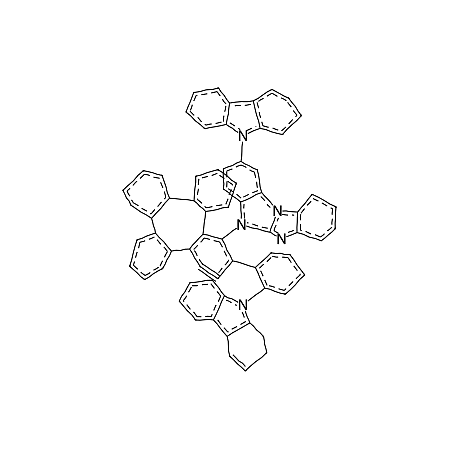 c1c2c(c(-n3c4ccc(-n5c6ccccc6c6ccccc65)cc4n4c5ccccc5nc34)c(-c3ccccc3-n3c4c(c5ccccc53)C=CCC4)c#1)-c1ccccc1-c1ccccc1-c1ccccc1-2